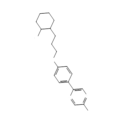 CCCc1cnc(-c2ccc(OCCCC3CCCCC3CCC)cc2)cn1